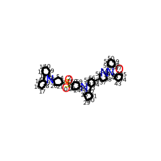 O=S(=O)(c1ccc(-n2c3ccccc3c3ccccc32)cc1)c1ccc(-n2c3ccccc3c3cc(-c4ccc(N5c6ccccc6Oc6ccccc65)nc4)ccc32)cc1